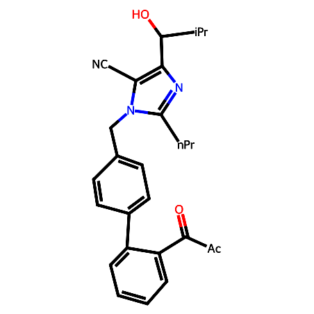 CCCc1nc(C(O)C(C)C)c(C#N)n1Cc1ccc(-c2ccccc2C(=O)C(C)=O)cc1